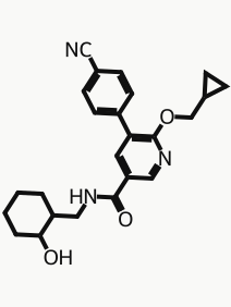 N#Cc1ccc(-c2cc(C(=O)NCC3CCCCC3O)cnc2OCC2CC2)cc1